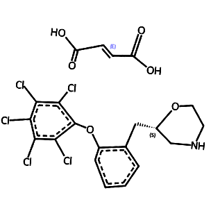 Clc1c(Cl)c(Cl)c(Oc2ccccc2C[C@H]2CNCCO2)c(Cl)c1Cl.O=C(O)/C=C/C(=O)O